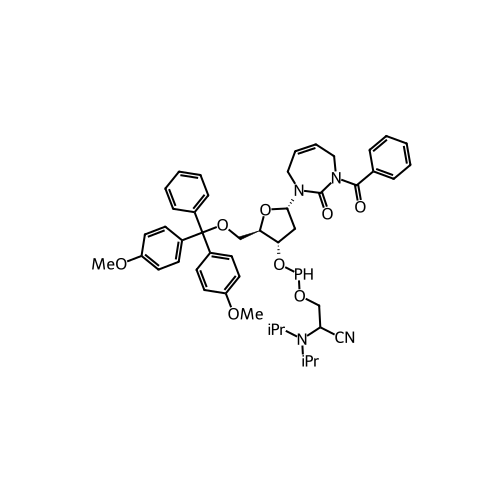 COc1ccc(C(OC[C@H]2O[C@H](N3CC=CCN(C(=O)c4ccccc4)C3=O)C[C@@H]2OPOCC(C#N)N(C(C)C)C(C)C)(c2ccccc2)c2ccc(OC)cc2)cc1